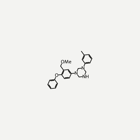 COCc1cc(N2CNCN(c3cccc(C)c3)C2)ccc1Oc1ccccc1